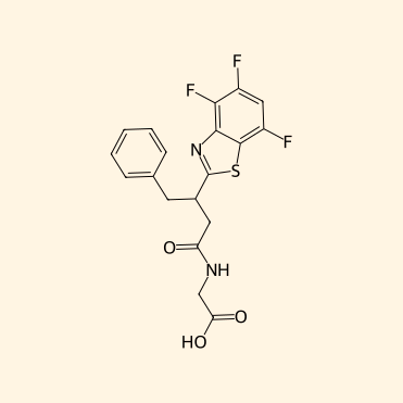 O=C(O)CNC(=O)CC(Cc1ccccc1)c1nc2c(F)c(F)cc(F)c2s1